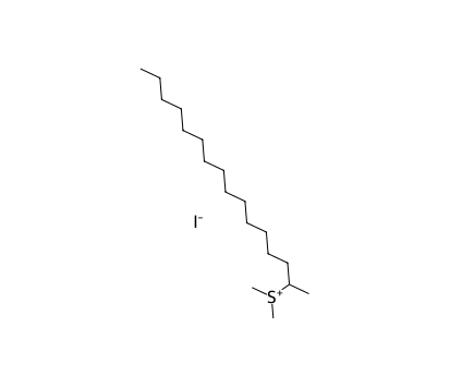 CCCCCCCCCCCCCCC(C)[S+](C)C.[I-]